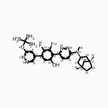 BC(B)(B)Oc1cc(-c2cc(O)c(-c3ccc(N(C)[C@H]4C[C@]5(C)CC[C@](C)(C4)C5)nn3)c(F)c2F)cnn1